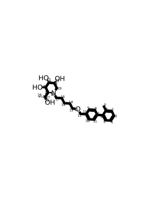 Cc1ccccc1-c1ccc(COCCCCCN2C[C@H](O)[C@@H](O)[C@H](O)[C@@H]2[C@@H](C)O)cc1